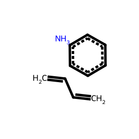 C=CC=C.N.c1ccccc1